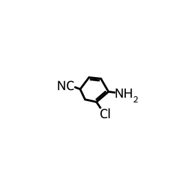 N#CC1C=CC(N)=C(Cl)C1